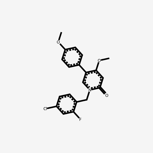 COc1ccc(-c2cn(Cc3ccc(Cl)cc3F)c(=O)cc2OC)cc1